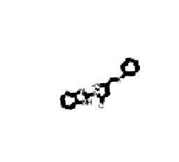 O=c1cc(CSc2ccccc2)[nH]n1-c1nc2ccccc2[nH]1